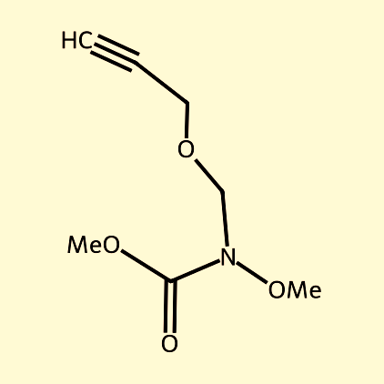 C#CCOCN(OC)C(=O)OC